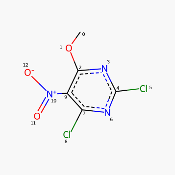 COc1nc(Cl)nc(Cl)c1[N+](=O)[O-]